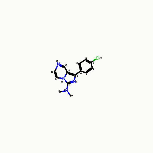 CN(C)c1nc(-c2ccc(Cl)cc2)c2cnccn12